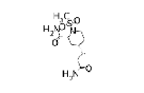 CS(=O)(=O)N1CC[C@H]([CH]CC(N)=O)C[C@@H]1C(N)=O